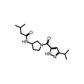 CC(C)CC(=O)NC1CCN(C(=O)c2cc(C(C)C)n[nH]2)C1